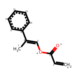 C=CC(=O)OC=C(C)c1ccccc1